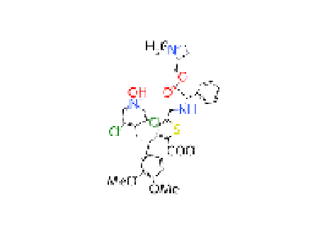 COc1ccc([C@H](Cc2c(Cl)c[n+](O)cc2Cl)c2cc(CNC(C(=O)OC[C@@H]3CCN3C)c3ccccc3)sc2C(=O)[O-])cc1OC